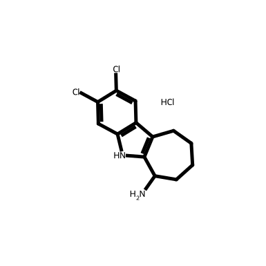 Cl.NC1CCCCc2c1[nH]c1cc(Cl)c(Cl)cc21